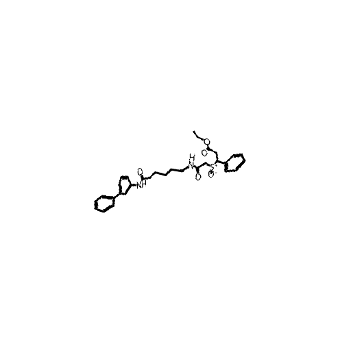 CCOC(=O)CC(c1ccccc1)[S+]([O-])CC(=O)NCCCCCC(=O)Nc1cccc(-c2ccccc2)c1